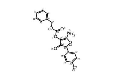 NC1=C(OC(=O)OCc2ccccc2)C(=O)C(c2ccc(Cl)cc2)O1